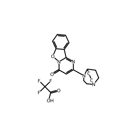 O=C(O)C(F)(F)F.O=c1cc(N2CCN3CCC2CC3)nc2c3ccccc3on12